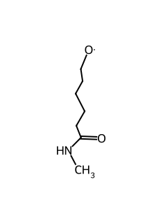 CNC(=O)CCCCC[O]